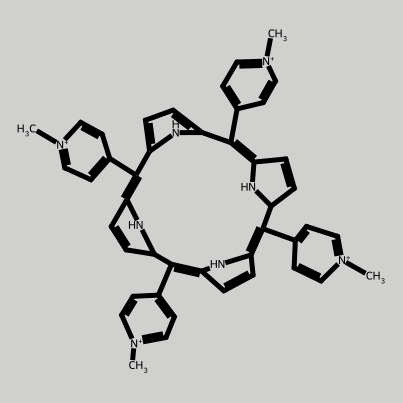 C[n+]1ccc(/C2=C3\C=CC(N3)/C(c3cc[n+](C)cc3)=c3/cc/c([nH]3)=C(\c3cc[n+](C)cc3)C3C=C/C(=C(\c4cc[n+](C)cc4)c4ccc2[nH]4)N3)cc1